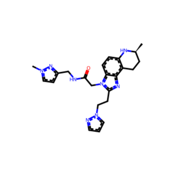 C[C@H]1CCc2c(ccc3c2nc(CCn2cccn2)n3CC(=O)NCc2ccn(C)n2)N1